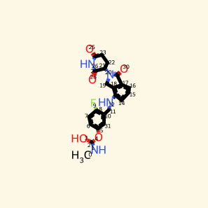 CNC(O)Oc1ccc(F)c(CNc2cccc3c2CN(C2CCC(=O)NC2=O)C3=O)c1